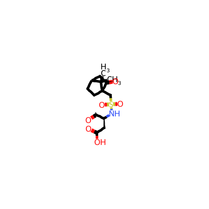 CC1(C)C2CCC1(CS(=O)(=O)N[C@H]([C]=O)CC(=O)O)C(=O)C2